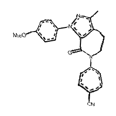 COc1ccc(-n2nc(C)c3c2C(=O)N(c2ccc(C#N)cc2)CC3)cc1